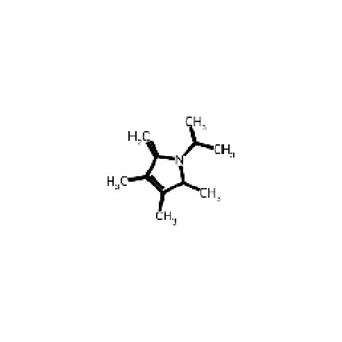 C=C1C(C)=C(C)C(C)N1C(C)C